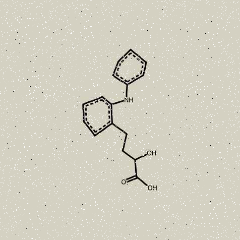 O=C(O)C(O)CCc1ccccc1Nc1ccccc1